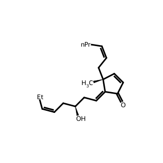 CC/C=C\C[C@H](O)C/C=C1/C(=O)C=C[C@@]1(C)C/C=C\CCC